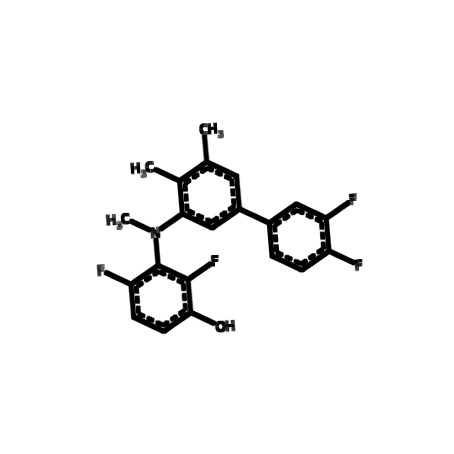 Cc1cc(-c2ccc(F)c(F)c2)cc(N(C)c2c(F)ccc(O)c2F)c1C